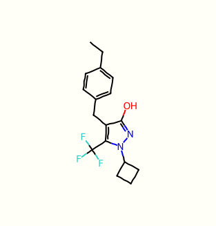 CCc1ccc(Cc2c(O)nn(C3CCC3)c2C(F)(F)F)cc1